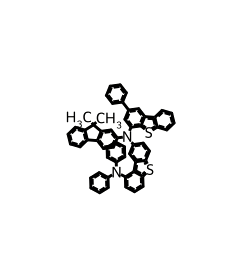 CC1(C)c2ccccc2-c2ccc(N(c3ccc4sc5cccc(N(c6ccccc6)c6ccccc6)c5c4c3)c3cc(-c4ccccc4)cc4c3sc3ccccc34)cc21